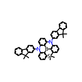 CC1(C)c2ccccc2-c2ccc(N3c4cccc5c4B4c6c3cccc6[Si](C)(C)c3cccc(c34)N5c3ccc4c(c3)C(C)(C)c3ccccc3-4)cc21